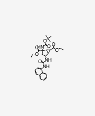 CCOC(=O)C1C2C(NC(=O)Nc3cccc4ccccc34)CC(NC(=O)OC(C)(C)C)(C(=O)OCC)C12